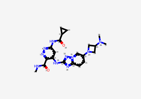 CNC(=O)c1nnc(NC(=O)C2CC2)cc1Nc1nc2ccc(N3CC(N(C)C)C3)cn2n1